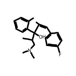 CC(=Cc1ccc(F)cc1)C(O)(c1ccccc1C)C(C)CN(C)C